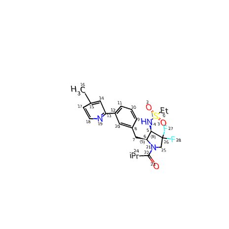 CCS(=O)(=O)N[C@@H]1[C@H](Cc2cccc(-c3cc(C)ccn3)c2)N(C(=O)C(C)C)CC1(F)F